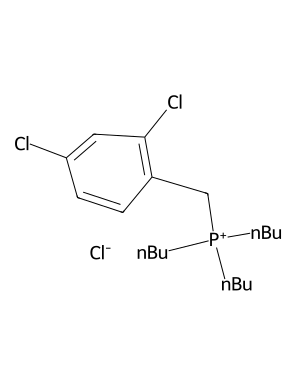 CCCC[P+](CCCC)(CCCC)Cc1ccc(Cl)cc1Cl.[Cl-]